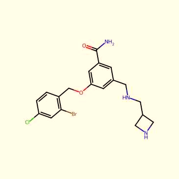 NC(=O)c1cc(CNCC2CNC2)cc(OCc2ccc(Cl)cc2Br)c1